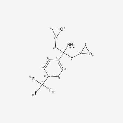 NC(CC1CO1)(CC1CO1)c1ccc(C(F)(F)F)cc1